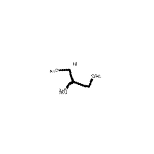 CC(=O)OCC(COC(C)=O)OC(C)=O.I